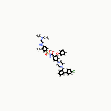 CN(C)CCNc1ccc(S(=O)(=O)NC(=O)c2ccc(N3CCN(Cc4ccccc4-c4ccc(Cl)cc4)CC3)cc2Oc2ccccc2)cc1[N+](=O)[O-]